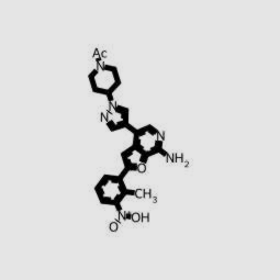 CC(=O)N1CCC(n2cc(-c3cnc(N)c4oc(-c5cccc([N+](=O)O)c5C)cc34)cn2)CC1